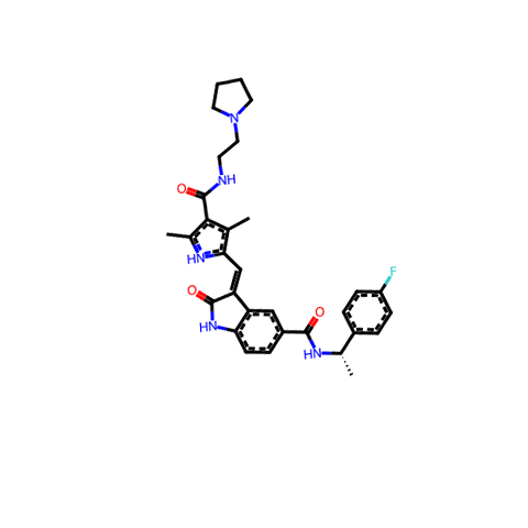 Cc1[nH]c(C=C2C(=O)Nc3ccc(C(=O)N[C@@H](C)c4ccc(F)cc4)cc32)c(C)c1C(=O)NCCN1CCCC1